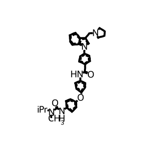 CC(C)N(C)C(=O)Nc1ccc(Oc2ccc(NC(=O)c3ccc(-n4cc(CN5CCCC5)c5ccccc54)cc3)cc2)cc1